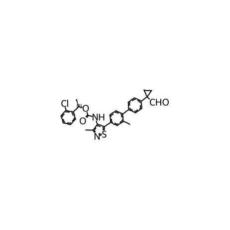 Cc1cc(-c2snc(C)c2NC(=O)O[C@H](C)c2ccccc2Cl)ccc1-c1ccc(C2(C=O)CC2)cc1